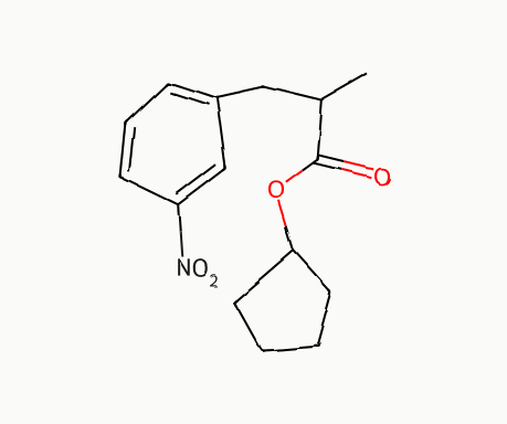 CC(Cc1cccc([N+](=O)[O-])c1)C(=O)OC1CCCC1